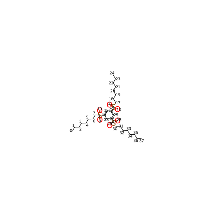 CCCCCCCCS(=O)(=O)c1cc(S(=O)(=O)CCCCCCCC)cc(S(=O)(=O)CCCCCCCC)c1